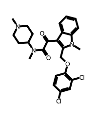 CN1CCC(N(C)C(=O)C(=O)c2c(COc3ccc(Cl)cc3Cl)n(C)c3ccccc23)CC1